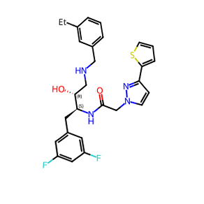 CCc1cccc(CNC[C@@H](O)[C@H](Cc2cc(F)cc(F)c2)NC(=O)Cn2ccc(-c3cccs3)n2)c1